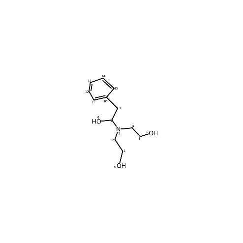 OCCN(CCO)C(O)Cc1ccccc1